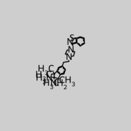 CC1(C)c2ccc(CCN3CCN(c4nsc5ccccc45)CC3)cc2C(C)(C)C1(N)N